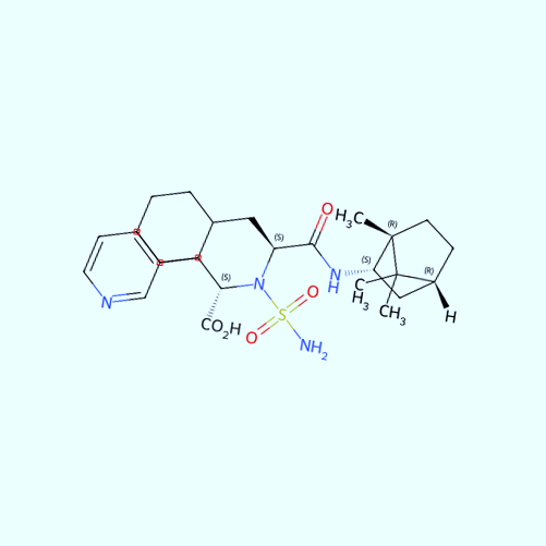 CC1(C)[C@@H]2CC[C@@]1(C)[C@@H](NC(=O)[C@H](CC1CCCCC1)N([C@@H](Cc1cccnc1)C(=O)O)S(N)(=O)=O)C2